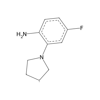 Nc1ccc(F)cc1N1C[CH]CC1